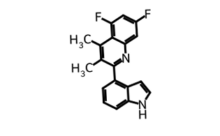 Cc1c(-c2cccc3[nH]ccc23)nc2cc(F)cc(F)c2c1C